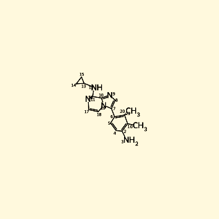 Cc1c(N)ccc(-c2cnc3c(NC4CC4)nccn23)c1C